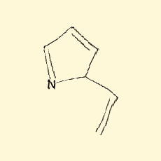 C=CC1C=CC=N1